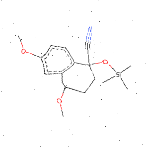 COc1ccc2c(c1)C(OC)CCC2(C#N)O[Si](C)(C)C